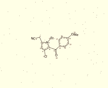 CCn1c(CC#N)cc(Cl)c1C(=O)c1ccc(OC)cc1